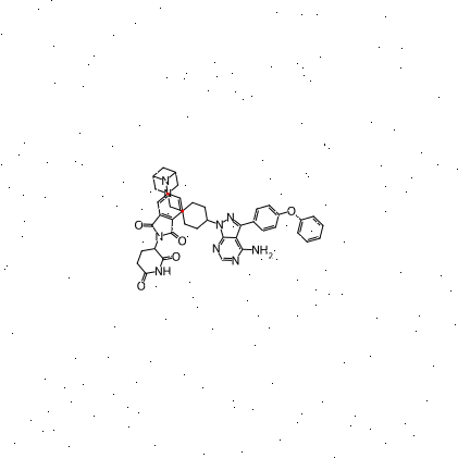 Nc1ncnc2c1c(-c1ccc(Oc3ccccc3)cc1)nn2C1CCC(CN2CC3CC(C2)N3c2ccc3c(c2)C(=O)N(C2CCC(=O)NC2=O)C3=O)CC1